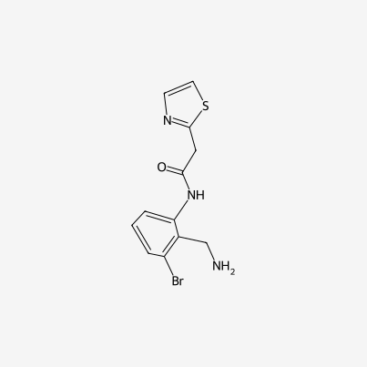 NCc1c(Br)cccc1NC(=O)Cc1nccs1